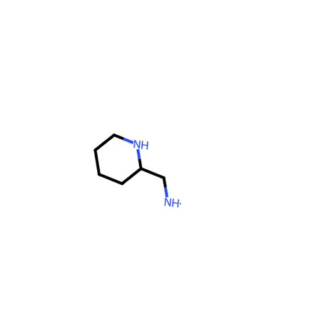 [NH]CC1CCCCN1